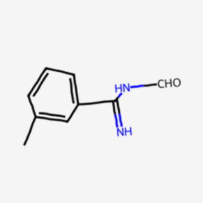 Cc1cccc(C(=N)NC=O)c1